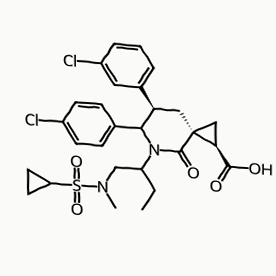 CCC(CN(C)S(=O)(=O)C1CC1)N1C(=O)[C@@]2(C[C@H](c3cccc(Cl)c3)C1c1ccc(Cl)cc1)C[C@H]2C(=O)O